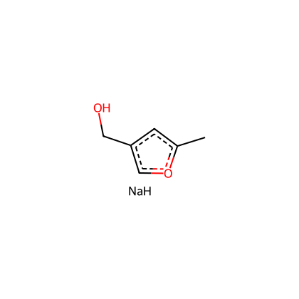 Cc1cc(CO)co1.[NaH]